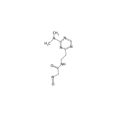 CN(C)c1ncnc(CCNC(=O)CN=O)n1